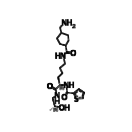 C[C@@H](O)CNC(=O)[C@@H](CCCCNC(=O)C1CCC(CN)CC1)NC(=O)c1cccs1